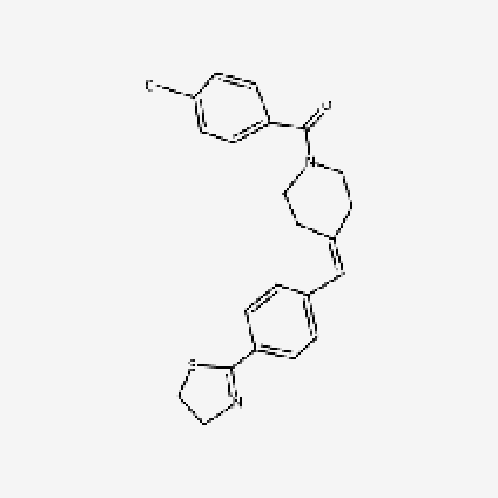 O=C(c1ccc(Cl)cc1)N1CCC(=Cc2ccc(C3=NCCS3)cc2)CC1